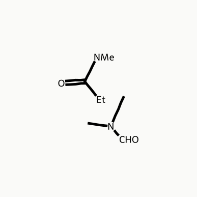 CCC(=O)NC.CN(C)C=O